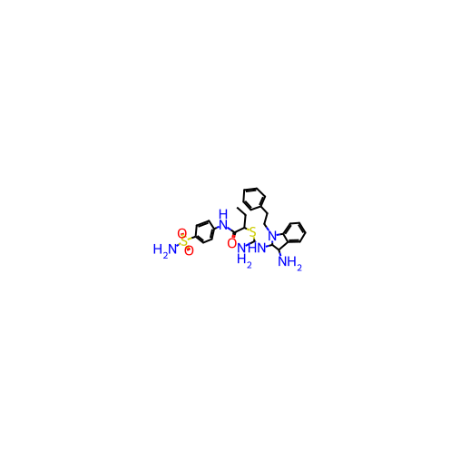 CCC(SC(N)NC1C(N)c2ccccc2N1CCc1ccccc1)C(=O)Nc1ccc(S(N)(=O)=O)cc1